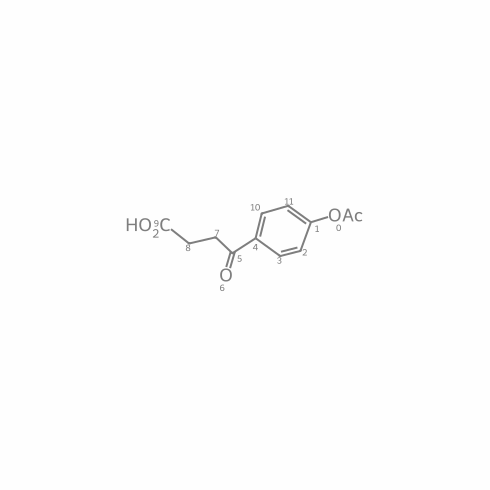 CC(=O)Oc1ccc(C(=O)CCC(=O)O)cc1